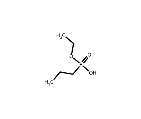 CCCP(=O)(O)OCC